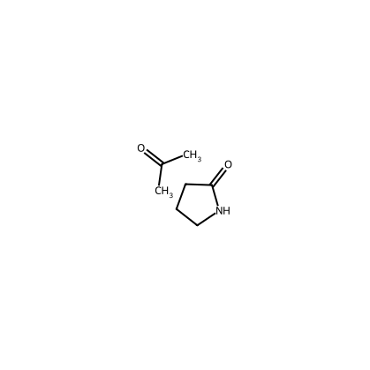 CC(C)=O.O=C1CCCN1